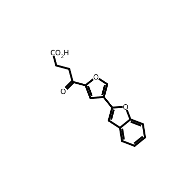 O=C(O)CCC(=O)c1cc(-c2cc3ccccc3o2)co1